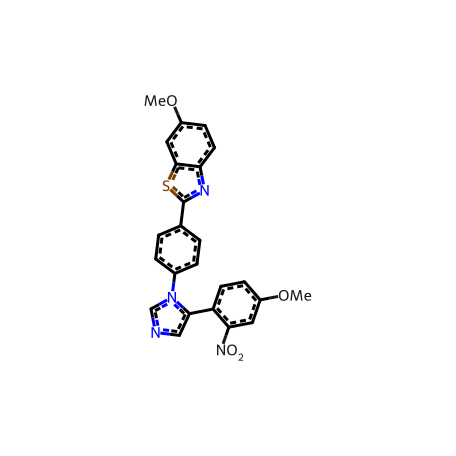 COc1ccc(-c2cncn2-c2ccc(-c3nc4ccc(OC)cc4s3)cc2)c([N+](=O)[O-])c1